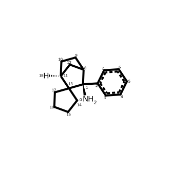 N[C@]1(c2ccccc2)C2CC[C@@H](C2)C12CCCC2